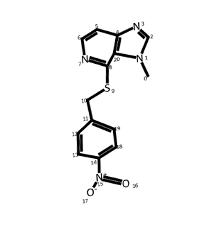 Cn1cnc2ccnc(SCc3ccc([N+](=O)[O-])cc3)c21